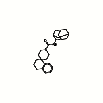 O=C(NC1C2CC3CC(C2)CC1C3)N1CCC2(CCCc3ccccc32)CC1